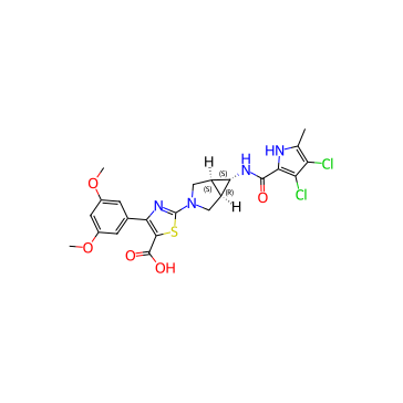 COc1cc(OC)cc(-c2nc(N3C[C@@H]4[C@H](C3)[C@H]4NC(=O)c3[nH]c(C)c(Cl)c3Cl)sc2C(=O)O)c1